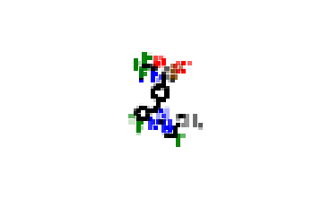 C[C@H]1[C@H](F)CN1c1nc(-c2ccc(C3(NC(=O)C(F)(F)F)C[S+]([O-])C3)cc2)c2c(n1)C(F)(F)CC2